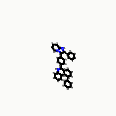 c1ccc(-c2nc3ccccn3c2-c2ccc(-c3nc4ccccc4c4c(-c5ccccc5)cccc34)cc2)cc1